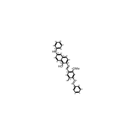 COc1cc(N=Nc2ccccc2)c(C)cc1N=Nc1ccc2cc(Nc3ccccc3)ccc2c1O